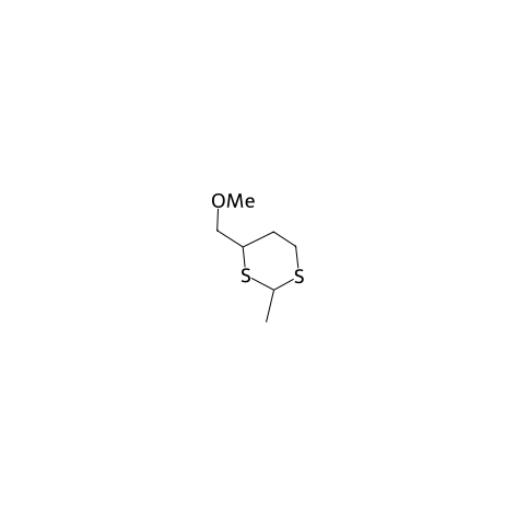 COCC1CCSC(C)S1